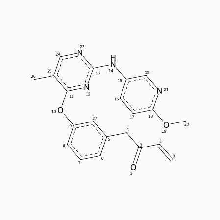 C=CC(=O)Cc1cccc(Oc2nc(Nc3ccc(OC)nc3)ncc2C)c1